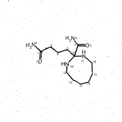 NC(=O)CCCC1(C(N)=O)NCCCCCCN1